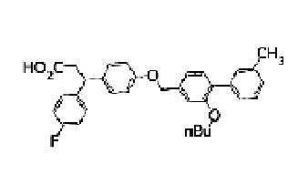 CCCCOc1cc(COc2ccc(C(CC(=O)O)c3ccc(F)cc3)cc2)ccc1-c1cccc(C)c1